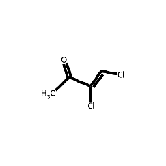 CC(=O)C(Cl)=CCl